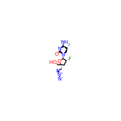 [N-]=[N+]=NC[C@@]1(CO)C[C@@H](F)[C@H](n2ccc(N)nc2=O)O1